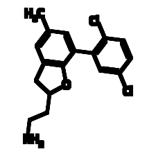 Cc1cc2c(c(-c3cc(Cl)ccc3Cl)c1)OC(CCN)C2